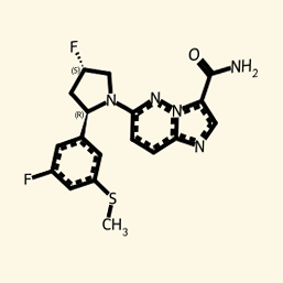 CSc1cc(F)cc([C@H]2C[C@H](F)CN2c2ccc3ncc(C(N)=O)n3n2)c1